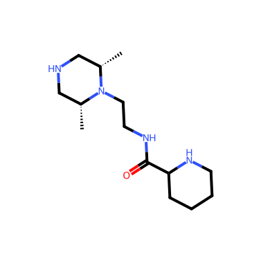 C[C@@H]1CNC[C@H](C)N1CCNC(=O)C1CCCCN1